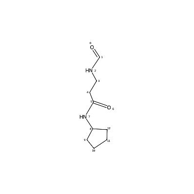 O=CNCCC(=O)NC1CCCC1